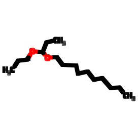 CC[CH]OC(CC)OCCCCCCCCCC